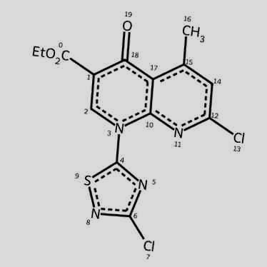 CCOC(=O)c1cn(-c2nc(Cl)ns2)c2nc(Cl)cc(C)c2c1=O